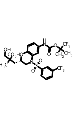 CC(CO)(C[C@H]1CN(S(=O)(=O)c2cccc(C(F)(F)F)c2)c2cc(NC(=O)OC(C)(C)C(F)(F)F)ccc2O1)C(=O)O